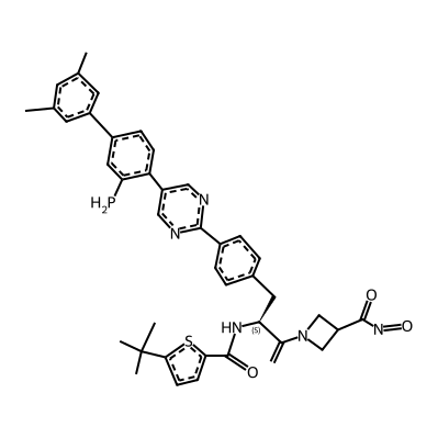 C=C([C@H](Cc1ccc(-c2ncc(-c3ccc(-c4cc(C)cc(C)c4)cc3P)cn2)cc1)NC(=O)c1ccc(C(C)(C)C)s1)N1CC(C(=O)N=O)C1